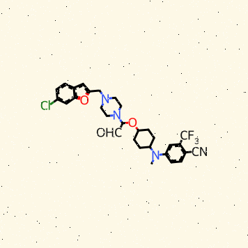 CN(c1ccc(C#N)c(C(F)(F)F)c1)C1CCC(OC(C=O)N2CCN(Cc3cc4ccc(Cl)cc4o3)CC2)CC1